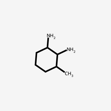 CC1CCCC(N)C1N